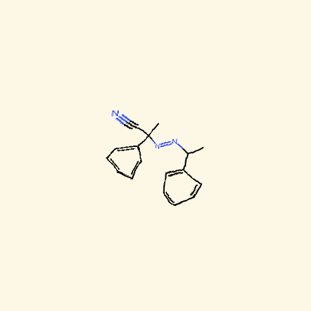 CC(N=NC(C)(C#N)c1ccccc1)c1ccccc1